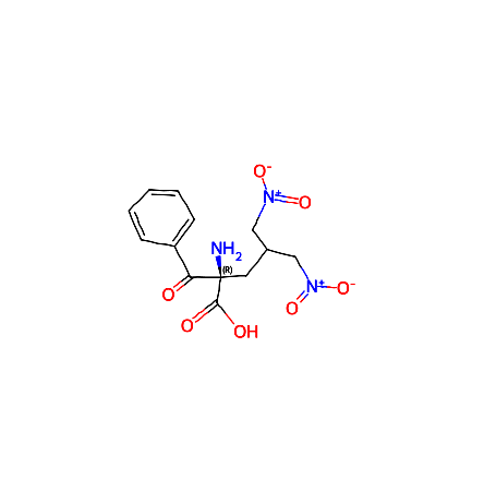 N[C@@](CC(C[N+](=O)[O-])C[N+](=O)[O-])(C(=O)O)C(=O)c1ccccc1